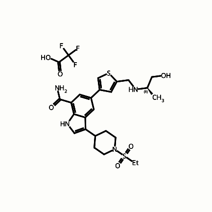 CCS(=O)(=O)N1CCC(c2c[nH]c3c(C(N)=O)cc(-c4csc(CN[C@H](C)CO)c4)cc23)CC1.O=C(O)C(F)(F)F